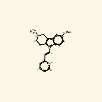 COc1ccc2c(c1)c1c(n2/C=C/c2ccccn2)CCN(C)C1